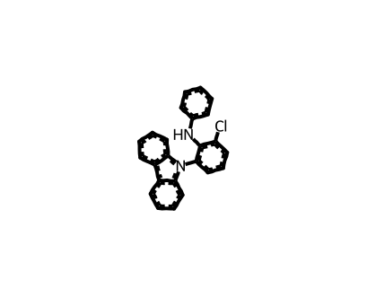 Clc1cccc(-n2c3ccccc3c3ccccc32)c1Nc1ccccc1